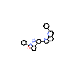 Nc1ccc(-c2ccc3ccc4ccc(-c5ccccc5)nc4c3n2)cc1-c1cccc2oc(-c3ccccc3)nc12